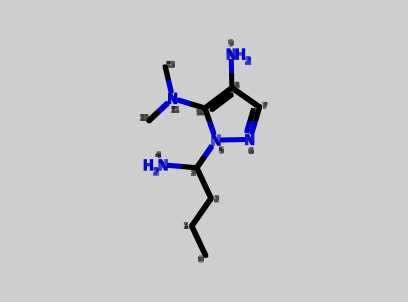 CCCC(N)n1ncc(N)c1N(C)C